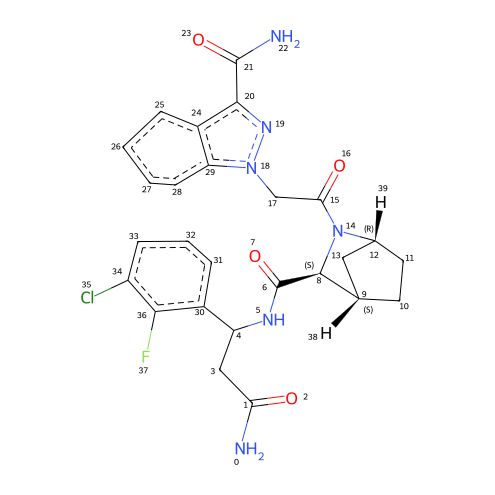 NC(=O)CC(NC(=O)[C@@H]1[C@H]2CC[C@H](C2)N1C(=O)Cn1nc(C(N)=O)c2ccccc21)c1cccc(Cl)c1F